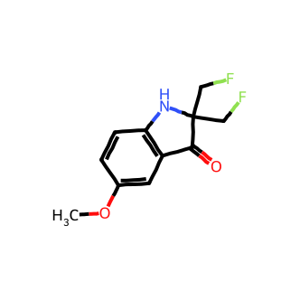 COc1ccc2c(c1)C(=O)C(CF)(CF)N2